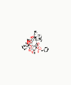 CC(=O)O[C@@]12CO[C@@H]1C[C@H](OC(=O)OCc1ccccc1)[C@@]1(C)C(=O)[C@H](C)/C(=C(\C)[C@H](C)O)C(C)(C)[C@](C)(O)[C@@H](OC(=O)c3ccccc3)[C@H]21